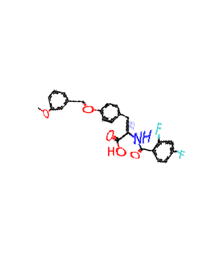 COc1cccc(COc2ccc(/C=C(/NC(=O)c3ccc(F)cc3F)C(=O)O)cc2)c1